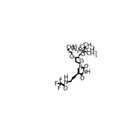 CSCO[C@@H]1C[C@H](n2cc(C#CCNC(=O)C(F)(F)F)c(=O)[nH]c2=O)O[C@@H]1CO[Si](C)(C)C(C)(C)C